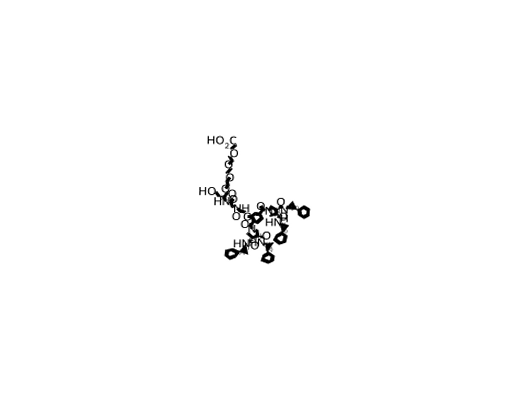 O=C(O)CCOCCOCCOCCOC(=O)[C@H](CCO)NC(=O)CNC(=O)COc1cc(C(=O)N2C[C@@H](C(=O)N[C@H]3C[C@@H]3c3ccccc3)[C@H](C(=O)N[C@H]3C[C@@H]3c3ccccc3)C2)ccc1C(=O)N1C[C@@H](C(=O)N[C@H]2C[C@@H]2c2ccccc2)[C@H](C(=O)N[C@H]2C[C@@H]2c2ccccc2)C1